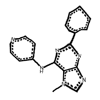 Cn1cnc2nc(-c3ccccc3)nc(Nc3ccncc3)c21